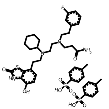 Cc1ccc(S(=O)(=O)O)cc1.Cc1ccc(S(=O)(=O)O)cc1.NC(=O)CCN(CCc1cccc(F)c1)CCN(CCc1ccc(O)c2[nH]c(=O)sc12)C1CCCCC1